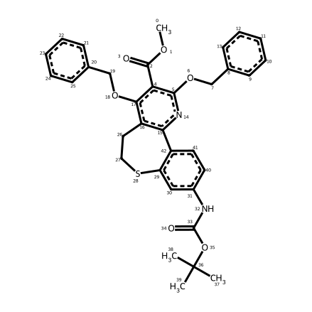 COC(=O)c1c(OCc2ccccc2)nc2c(c1OCc1ccccc1)CCSc1cc(NC(=O)OC(C)(C)C)ccc1-2